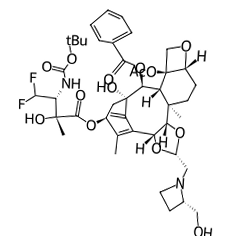 C=C1C2=C(C)[C@@H](OC(=O)[C@](C)(O)[C@@H](NC(=O)OC(C)(C)C)C(F)F)C[C@@]1(O)[C@@H](OC(=O)c1ccccc1)[C@H]1[C@@](C)(CC[C@H]3OC[C@]31OC(C)=O)[C@@H]1O[C@H](CN3CC[C@H]3CO)O[C@H]21